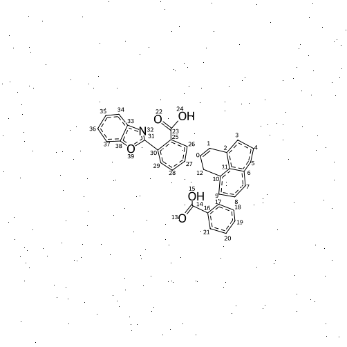 C1=Cc2cccc3cccc(c23)C1.O=C(O)c1ccccc1.O=C(O)c1ccccc1-c1nc2ccccc2o1